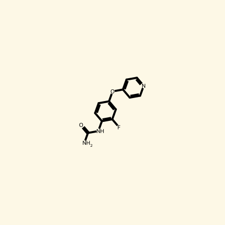 NC(=O)Nc1ccc(Oc2ccncc2)cc1F